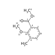 COC(=O)c1c[c]cc(C)c1OC